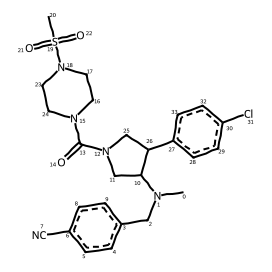 CN(Cc1ccc(C#N)cc1)C1CN(C(=O)N2CCN(S(C)(=O)=O)CC2)CC1c1ccc(Cl)cc1